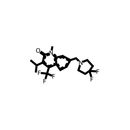 CC(C)c1c(C(F)(F)F)c2ccc(CN3CCC(F)(F)CC3)cc2n(C)c1=O